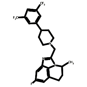 CC1CCc2cc(F)cc3nc(CN4CCC(c5cc(C(F)(F)F)cc(C(F)(F)F)c5)CC4)n1c23